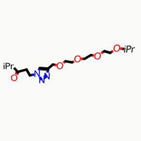 CC(C)OCCOCCOCCOCc1cn(CCC(=O)C(C)C)nn1